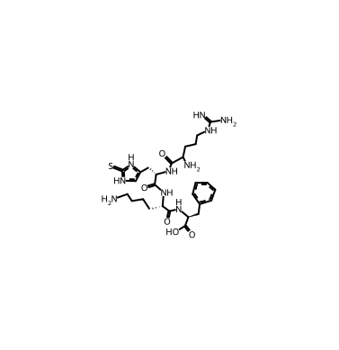 N=C(N)NCCCC(N)C(=O)N[C@@H](Cc1c[nH]c(=S)[nH]1)C(=O)N[C@@H](CCCCN)C(=O)N[C@@H](Cc1ccccc1)C(=O)O